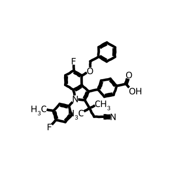 Cc1cc(-n2c(C(C)(C)CC#N)c(-c3ccc(C(=O)O)cc3)c3c(OCc4ccccc4)c(F)ccc32)ccc1F